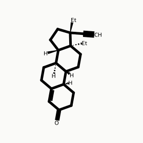 C#C[C@@]1(CC)CC[C@H]2[C@@H]3CCC4=CC(=O)CC[C@@H]4[C@H]3CC[C@@]21CC